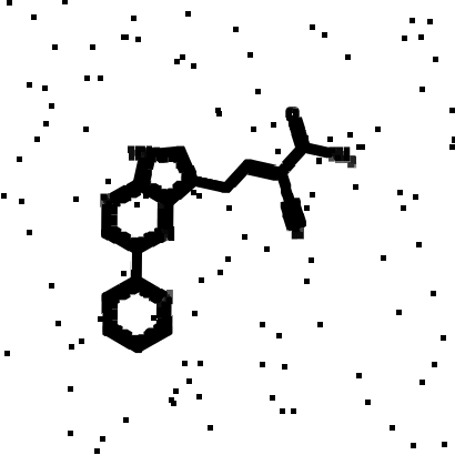 N#C/C(=C\Cc1c[nH]c2ncc(-c3ccccn3)nc12)C(N)=O